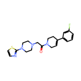 O=C(CN1CCN(c2nccs2)CC1)N1CC=C(c2cccc(F)c2)CC1